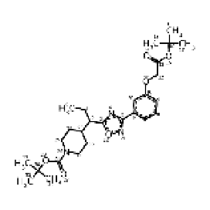 CCC(c1nc(-c2cccc(OCC(=O)OC(C)(C)C)c2)no1)C1CCN(C(=O)OC(C)(C)C)CC1